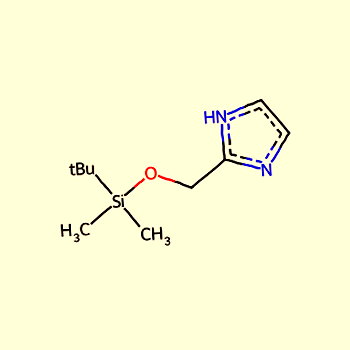 CC(C)(C)[Si](C)(C)OCc1ncc[nH]1